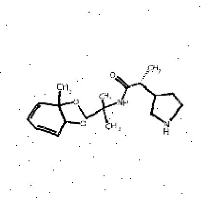 C[C@@H](C(=O)NC(C)(C)COC1(C)C=CC=CC1Cl)[C@H]1CCNC1